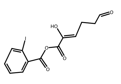 O=CCCC=C(O)C(=O)OC(=O)c1ccccc1I